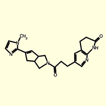 Cn1ccnc1C1=CC2CN(C(=O)CCc3cnc4c(c3)CCC(=O)N4)CC2C1